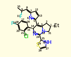 CC[C@H]1CC2=C(C3=N/C(=C\C(C)F)C=C3)[C@H](c3ccc(F)cc3Cl)N=C(C3NC=CS3)N2C1